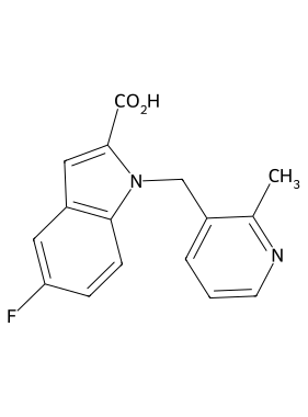 Cc1ncccc1Cn1c(C(=O)O)cc2cc(F)ccc21